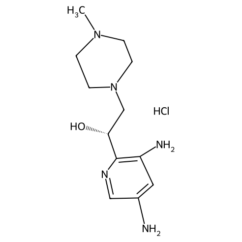 CN1CCN(C[C@@H](O)c2ncc(N)cc2N)CC1.Cl